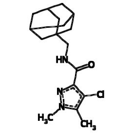 Cc1c(Cl)c(C(=O)NCC23CC4CC(CC(C4)C2)C3)nn1C